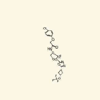 O=C(COc1ccc(Cl)cc1)N[C@H]1CO[C@H](c2nnc([C@H]3C[C@@H](OC(F)(F)F)C3)o2)[C@H](F)C1